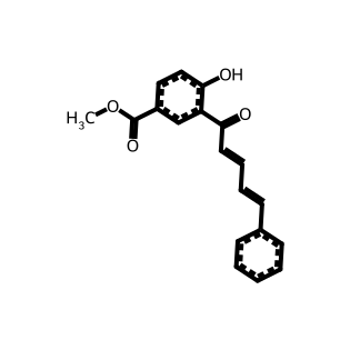 COC(=O)c1ccc(O)c(C(=O)C=CC=Cc2ccccc2)c1